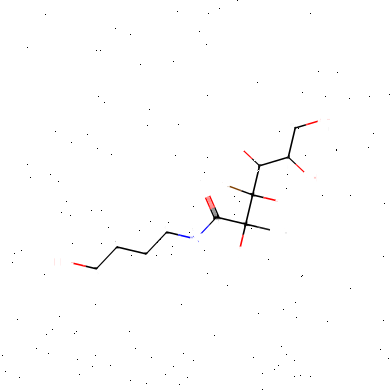 CCCCC(O)(C(=O)NCCCCO)C(O)(S)C(O)C(O)CO